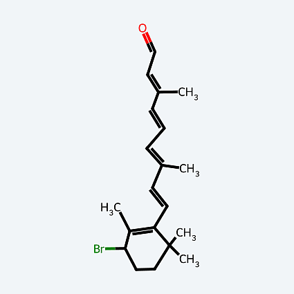 CC1=C(/C=C/C(C)=C/C=C/C(C)=C/C=O)C(C)(C)CCC1Br